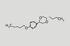 CCCCCOc1ccc([C@@H]2CO[C@@H](CCCC)CO2)cc1